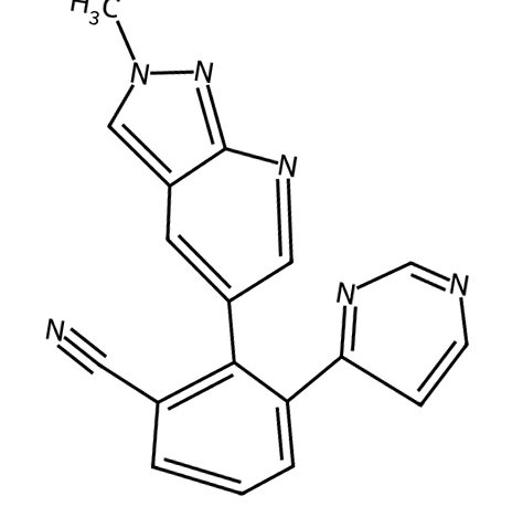 Cn1cc2cc(-c3c(C#N)cccc3-c3ccncn3)cnc2n1